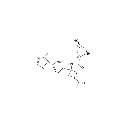 CC(=O)N1CC(NC(=O)[C@@H]2C[C@@H](O)CN2)(c2ccc(-c3scnc3C)cc2)C1